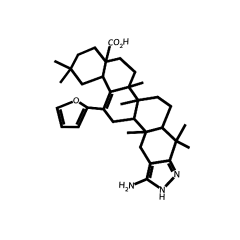 CC1(C)CCC2(C(=O)O)CCC3(C)C(=C(c4ccco4)CC4C5(C)Cc6c(n[nH]c6N)C(C)(C)C5CCC43C)C2C1